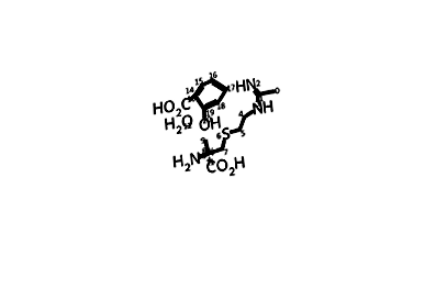 CC(=N)NCCSC[C@](C)(N)C(=O)O.O.O=C(O)c1ccccc1O